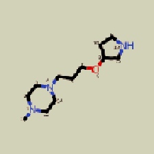 CN1CCN(CCCOC2CCNC2)CC1